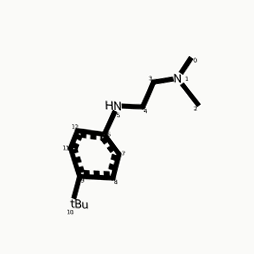 CN(C)CCNc1ccc(C(C)(C)C)cc1